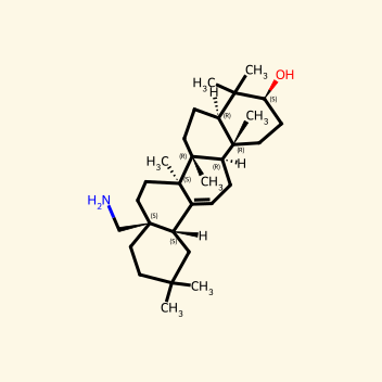 CC1(C)CC[C@]2(CN)CC[C@]3(C)C(=CC[C@@H]4[C@@]5(C)CC[C@H](O)C(C)(C)[C@@H]5CC[C@]43C)[C@@H]2C1